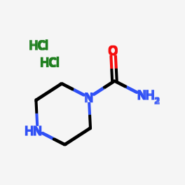 Cl.Cl.NC(=O)N1CCNCC1